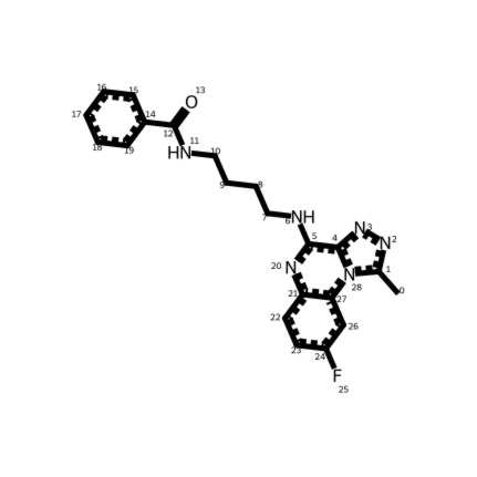 Cc1nnc2c(NCCCCNC(=O)c3ccccc3)nc3ccc(F)cc3n12